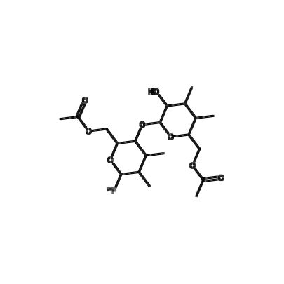 CC(=O)OCC1OC(OC2C(COC(C)=O)OC([18F])C(C)C2C)C(O)C(C)C1C